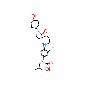 CC(C)CN(C(=O)O)c1ccc(N2CCCC3(CCN([C@H]4CC[C@H](O)CC4)C3=O)C2)c(F)c1